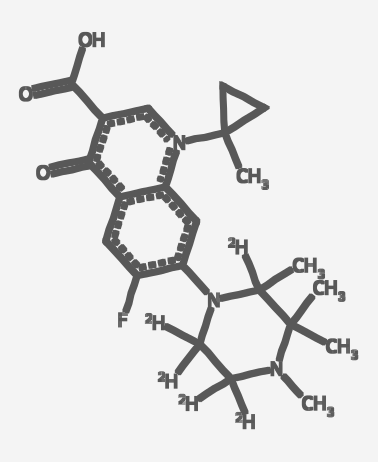 [2H]C1([2H])N(c2cc3c(cc2F)c(=O)c(C(=O)O)cn3C2(C)CC2)C([2H])(C)C(C)(C)N(C)C1([2H])[2H]